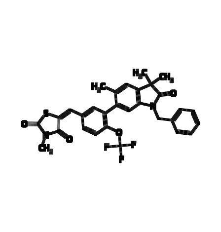 Cc1cc2c(cc1-c1cc(/C=C3/SC(=O)N(C)C3=O)ccc1OC(F)(F)F)N(Cc1ccccc1)C(=O)C2(C)C